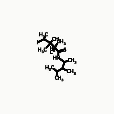 CC(C)C(C)C(C)NC(=S)C(C)(C)C(C)(C)C(C)I